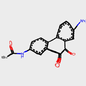 CC(C)(C)C(=O)Nc1ccc2c(c1)C(=O)C(=O)c1cc(N)ccc1-2